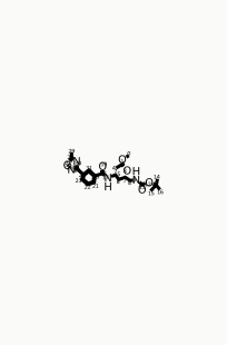 COC(=O)C[C@H](CCCNC(=O)OC(C)(C)C)NC(=O)c1cccc(-c2noc(C)n2)c1